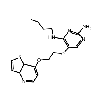 CCCCNc1nc(N)ncc1OCCOC1=CC=NC2C=CSC12